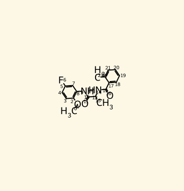 COc1ccc(F)cc1NC(=O)C(C)NC(=O)c1ccccc1C